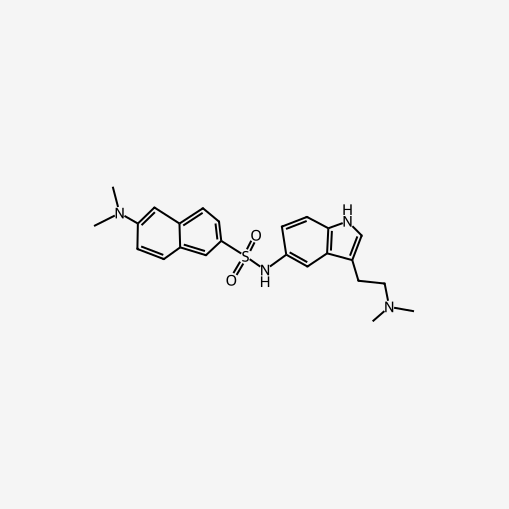 CN(C)CCc1c[nH]c2ccc(NS(=O)(=O)c3ccc4cc(N(C)C)ccc4c3)cc12